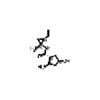 BN1C[C@H](O)C[C@H]1C(=O)N[C@]1(P)C[C@H]1C=C